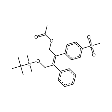 CC(=O)OC/C(=C(\CO[Si](C)(C)C(C)(C)C)c1ccccc1)c1ccc(S(C)(=O)=O)cc1